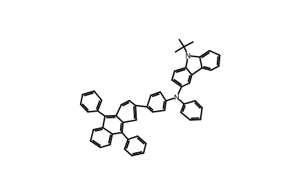 CC(C)(C)n1c2ccccc2c2cc(N(c3ccccc3)c3ccc(-c4ccc5c(-c6ccccc6)c6ccccc6c(-c6ccccc6)c5c4)cc3)ccc21